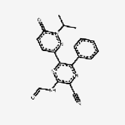 CC(C)n1nc(-c2nc(NC=O)c(C#N)nc2-c2ccccc2)ccc1=O